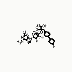 Nc1nc(Cl)nc2c1ncn2[C@@H]1O[C@@H]2C(OC(Cc3ccc(-c4ccc(F)cc4)cc3)(C(=O)O)C(=O)O)[C@]2(O)[C@@H]1F